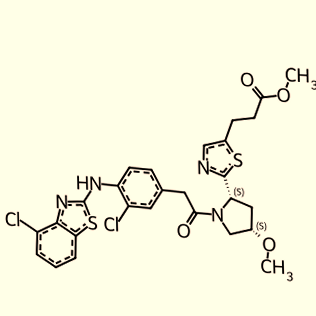 COC(=O)CCc1cnc([C@@H]2C[C@H](OC)CN2C(=O)Cc2ccc(Nc3nc4c(Cl)cccc4s3)c(Cl)c2)s1